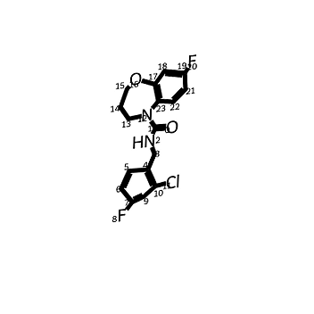 O=C(NCc1ccc(F)cc1Cl)N1CCCOc2cc(F)ccc21